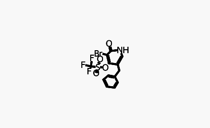 O=c1[nH]cc(Cc2ccccc2)c(OS(=O)(=O)C(F)(F)F)c1Br